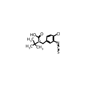 CC(C)(C)N(Cc1ccc(Cl)c(N=C=S)c1)C(=O)O